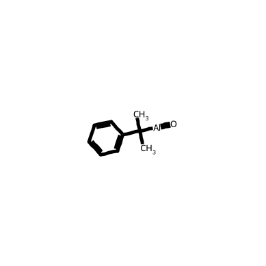 C[C](C)([Al]=[O])c1ccccc1